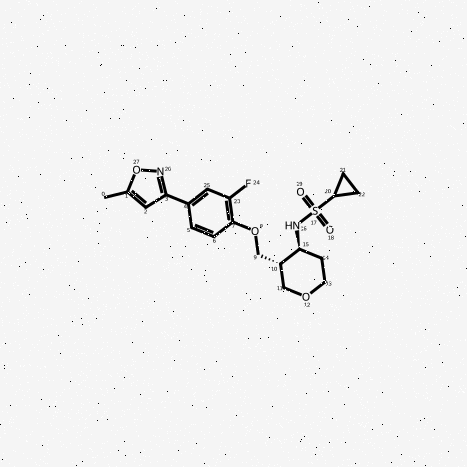 Cc1cc(-c2ccc(OC[C@H]3COCC[C@@H]3NS(=O)(=O)C3CC3)c(F)c2)no1